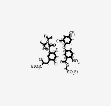 CCOC(=O)C(Cl)Cc1cc(-n2nc(C)n(C(F)F)c2=O)c(F)cc1Cl.CCOC(=O)COC(=O)c1cc(Oc2ccc(C(F)(F)F)cc2Cl)ccc1[N+](=O)[O-]